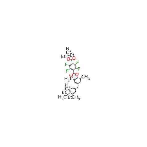 CCC(C)(CC)OC(=O)c1c(F)c(F)c(C(=O)Oc2c(C)cc(Cc3cc(C)c(C(C)(CC)CC)c(C)c3)cc2C)c(F)c1F